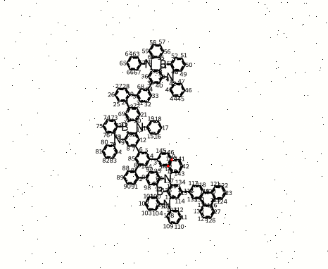 c1ccc(-c2cc(-c3cc4c5c(c3)N(c3ccccc3)c3ccc(-c6ccccc6-c6cccc(-c7cc8c9c(c7)N(c7ccccc7)c7ccccc7B9c7ccccc7N8c7ccccc7)c6)cc3B5c3ccccc3N4c3ccccc3)cc(-c3ccccc3-c3ccc4c(c3)B3c5ccccc5N(c5ccccc5)c5cc(-c6ccc7c8ccccc8c8ccccc8c7c6)cc(c53)N4c3ccccc3)c2)cc1